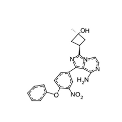 C[C@]1(O)C[C@@H](c2nc(-c3ccc(Oc4ccccc4)c([N+](=O)[O-])c3)c3c(N)nccn32)C1